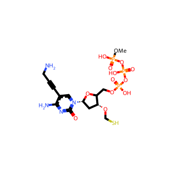 COP(=O)(O)OP(=O)(O)OP(=O)(O)OCC1O[C@@H](n2cc(C#CCN)c(N)nc2=O)C[C@H]1OCS